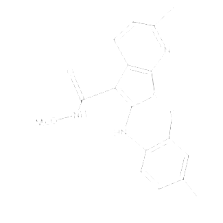 CONC(=O)c1c(Nc2ccc(C)cc2F)sc2nc(C)ccc12